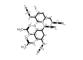 CC(=O)O[C@H]1[C@H](O[C@H]2O[C@H](CN=[N+]=[N-])C[C@@H](F)C2N=[N+]=[N-])C(N=[N+]=[N-])CC(N=[N+]=[N-])[C@@H]1OC(C)=O